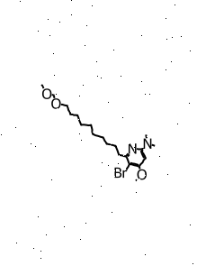 COCOCCCCCCCCCCc1nc(N(C)C)cc(OC)c1Br